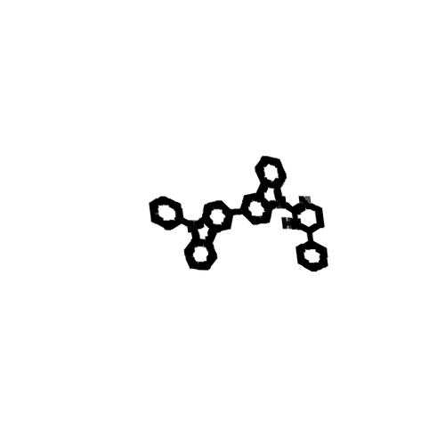 C1=CC(c2ccccc2)NC(n2c3ccccc3c3cc(-c4ccc5c(c4)c4ccccc4n5-c4ccccc4)ccc32)=N1